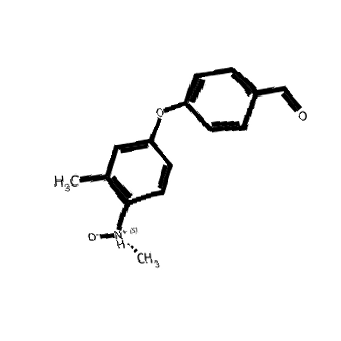 Cc1cc(Oc2ccc(C=O)cc2)ccc1[N@H+](C)[O-]